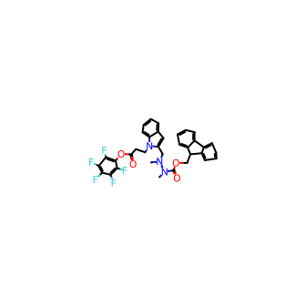 CN(Cc1cc2ccccc2n1CCC(=O)Oc1c(F)c(F)c(F)c(F)c1F)N(C)C(=O)OCC1c2ccccc2-c2ccccc21